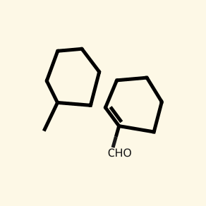 CC1CCCCC1.O=CC1=CCCCC1